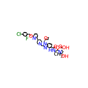 C[C@H](NC(=O)c1ccc2c(c1)nc(CN1CCC(c3cccc(OCc4ccc(Cl)cc4F)n3)CC1)n2C[C@@H]1CCO1)C(=O)N1C[C@H](O)C[C@H]1C(=O)O